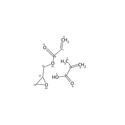 C=C(C)C(=O)O.C=CC(=O)OCC1CO1